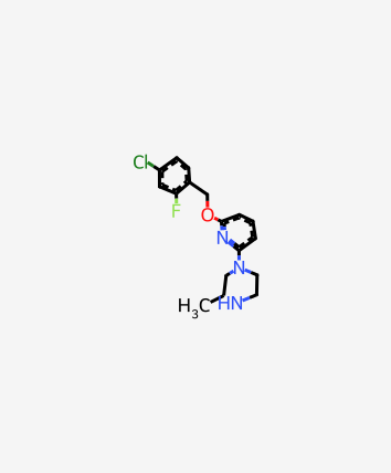 CC1CN(c2cccc(OCc3ccc(Cl)cc3F)n2)CCN1